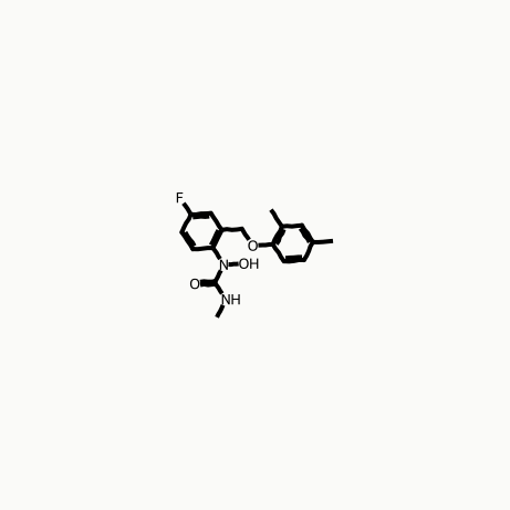 CNC(=O)N(O)c1ccc(F)cc1COc1ccc(C)cc1C